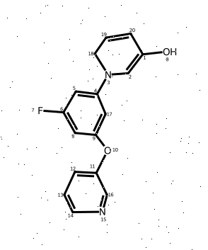 OC1=CN(c2cc(F)cc(Oc3cccnc3)c2)CC=C1